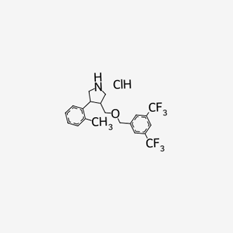 Cc1ccccc1C1CNCC1COCc1cc(C(F)(F)F)cc(C(F)(F)F)c1.Cl